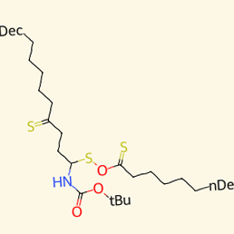 CCCCCCCCCCCCCCCC(=S)CCC(NC(=O)OC(C)(C)C)SOC(=S)CCCCCCCCCCCCCCC